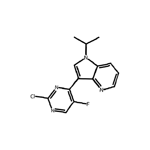 CC(C)n1cc(-c2nc(Cl)ncc2F)c2ncccc21